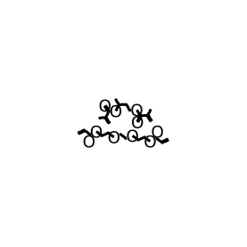 C=C(C)C(=O)OCCC(C)OC(=O)C(=C)C.C=CC(=O)OCCOCCOCCOC(=O)C=C